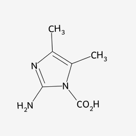 Cc1nc(N)n(C(=O)O)c1C